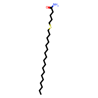 CCCCCCCCCCCCCCCCCCSCCCCC(N)=O